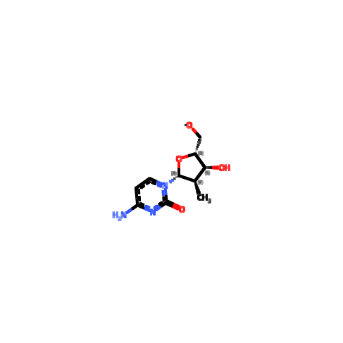 C[C@@H]1[C@H](O)[C@@H](C[O])O[C@H]1n1ccc(N)nc1=O